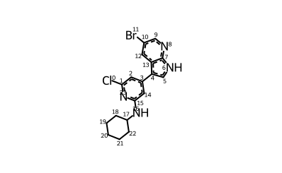 Clc1cc(-c2c[nH]c3ncc(Br)cc23)cc(NC2CCCCC2)n1